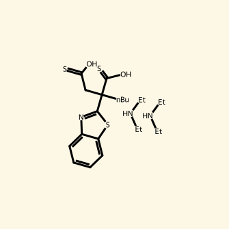 CCCCC(CC(O)=S)(C(O)=S)c1nc2ccccc2s1.CCNCC.CCNCC